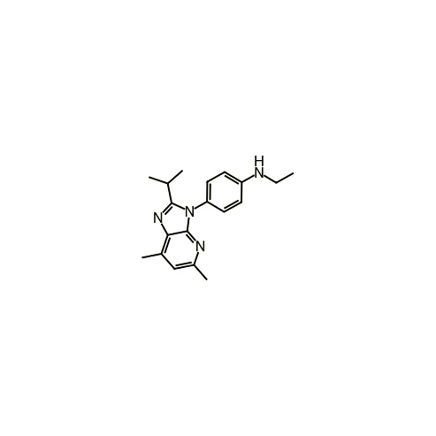 CCNc1ccc(-n2c(C(C)C)nc3c(C)cc(C)nc32)cc1